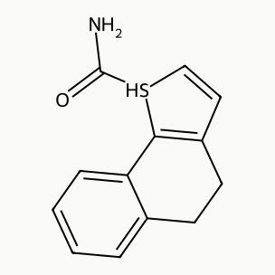 NC(=O)[SH]1C=CC2=C1c1ccccc1CC2